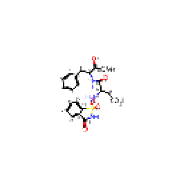 COC(=O)C(Cc1ccccc1)NC(=O)C(N)CC(=O)O.O=C1NS(=O)(=O)c2ccccc21